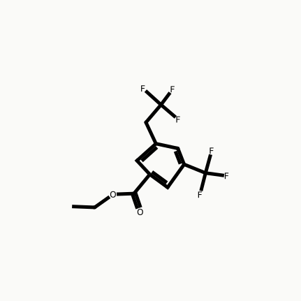 CCOC(=O)c1cc(CC(F)(F)F)cc(C(F)(F)F)c1